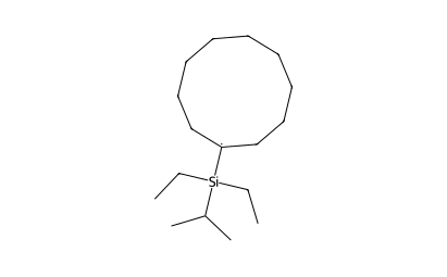 CC[Si](CC)([C]1CCCCCCCCC1)C(C)C